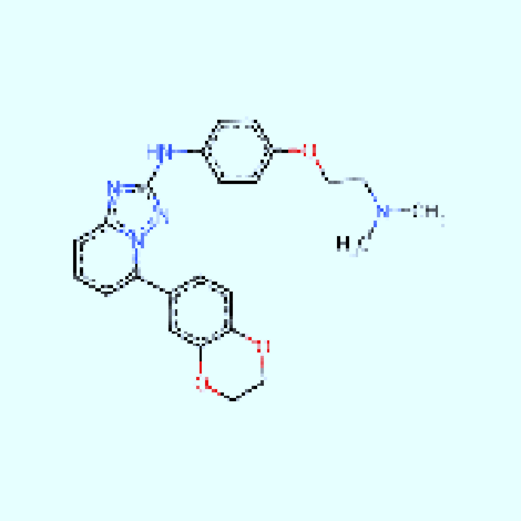 CN(C)CCOc1ccc(Nc2nc3cccc(-c4ccc5c(c4)OCCO5)n3n2)cc1